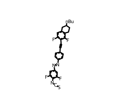 CCCCC1CCc2c(cc(F)c(C#Cc3ccc(N=Nc4cc(F)c(N=C=S)c(F)c4)cc3)c2F)C1